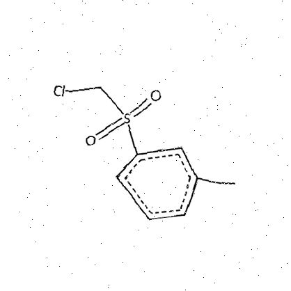 Cc1cccc(S(=O)(=O)CCl)c1